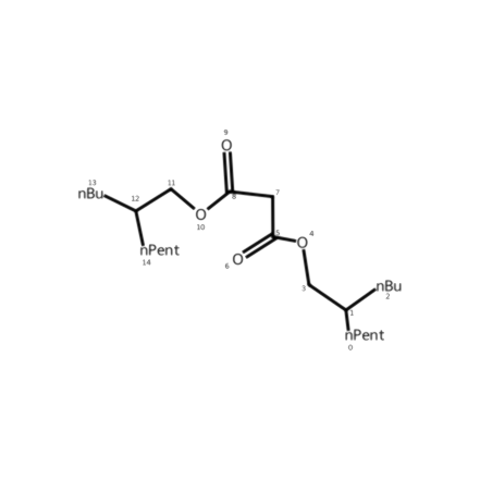 CCCCCC(CCCC)COC(=O)CC(=O)OCC(CCCC)CCCCC